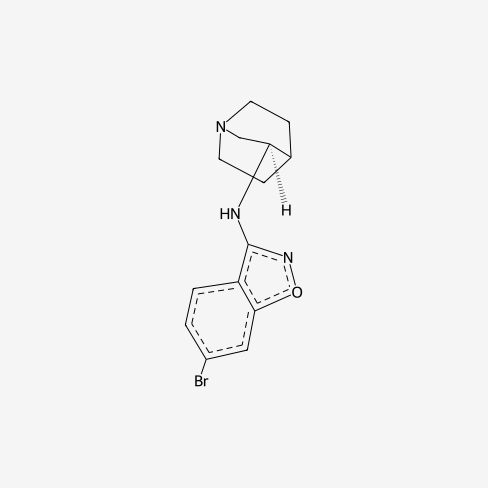 Brc1ccc2c(N[C@H]3CN4CCC3CC4)noc2c1